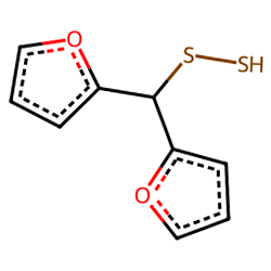 SSC(c1ccco1)c1ccco1